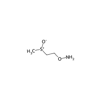 C[S+]([O-])CCON